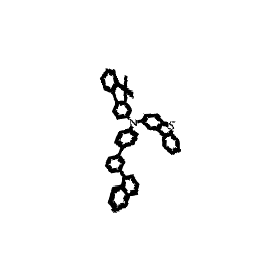 CC1(C)c2ccccc2-c2ccc(N(c3ccc(-c4cccc(-c5cccc6ccccc56)c4)cc3)c3ccc4sc5ccccc5c4c3)cc21